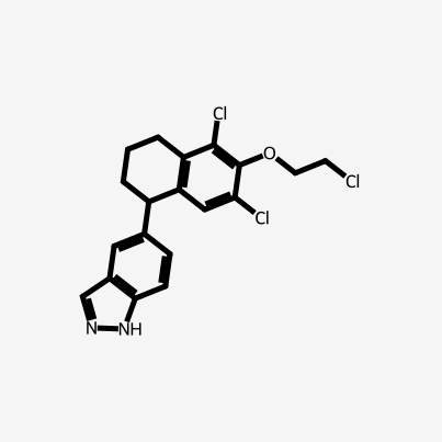 ClCCOc1c(Cl)cc2c(c1Cl)CCCC2c1ccc2[nH]ncc2c1